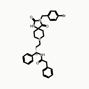 O=C(Cc1ccccc1)N[C@@H](CCN1CCC2(CC1)NC(=O)N(Cc1ccc(Br)cc1)C2=O)c1ccccc1